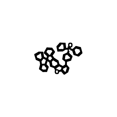 O=P(c1ccccc1)(c1ccccc1)c1ccc(-c2cccc3oc4cc5c(cc4c23)-c2ccccc2C52c3ccccc3-c3ccccc32)cc1